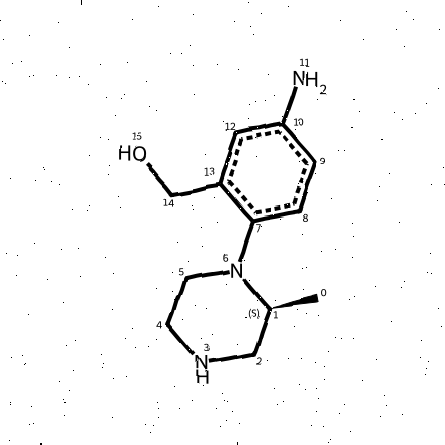 C[C@H]1CNCCN1c1ccc(N)cc1CO